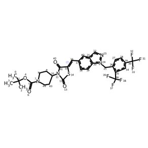 CC(C)(C)OC(=O)N1CCC(N2C(=O)S/C(=C\c3ccc4c(cnn4Cc4ccc(C(F)(F)F)cc4C(F)(F)F)c3)C2=O)CC1